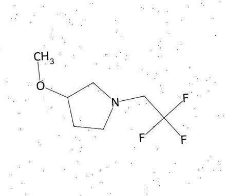 COC1CCN(CC(F)(F)F)C1